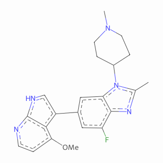 COc1ccnc2[nH]cc(-c3cc(F)c4nc(C)n(C5CCN(C)CC5)c4c3)c12